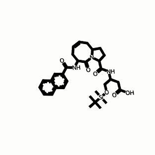 CC(C)(C)[Si](C)(C)OCC(CC(=O)O)NC(=O)C1CCC2CC=CCC(NC(=O)c3ccc4ccccc4c3)C(=O)N21